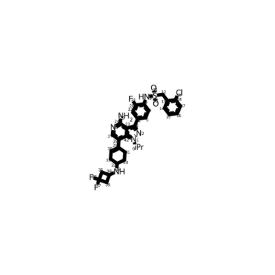 CC(C)n1nc(-c2ccc(NS(=O)(=O)Cc3ccccc3Cl)c(F)c2)c2c(N)ncc(C3=CCC(NC4CC(F)(F)C4)CC3)c21